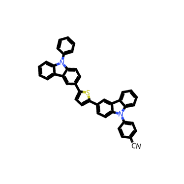 N#Cc1ccc(-n2c3ccccc3c3cc(-c4ccc(-c5ccc6c(c5)c5ccccc5n6-c5ccccc5)s4)ccc32)cc1